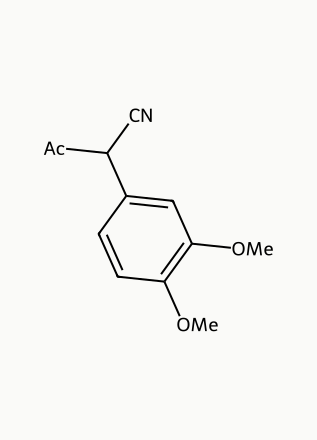 COc1ccc(C(C#N)C(C)=O)cc1OC